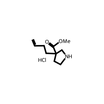 C=CCCC1(C(=O)OC)CCNC1.Cl